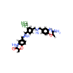 CC1Oc2ccc(CNCc3ccc(CNCc4ccc5c(c4)N=C(N)C(C)O5)cc3)cc2NC1=O.Cl.Cl.Cl